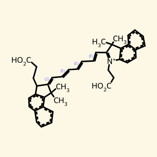 CC1(C)C(/C=C/C=C/C=C/C=C2/C(CCC(=O)O)c3ccc4ccccc4c3C2(C)C)=[N+](CCC(=O)O)c2ccc3ccccc3c21